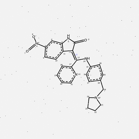 O=C1Nc2cc([N+](=O)[O-])ccc2/C1=C(/Nc1ccc(CN2CCCC2)cc1)c1ccccn1